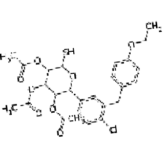 CCOc1ccc(Cc2cc(C3OC(S)C(OC(C)=O)C(OC(C)=O)C3OC(C)=O)ccc2Cl)cc1